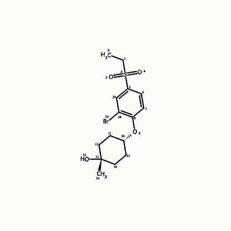 CCS(=O)(=O)c1ccc(O[C@H]2CC[C@@](C)(O)CC2)c(Br)c1